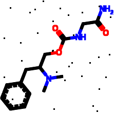 CN(C)C(COC(=O)NCC(N)=O)Cc1ccccc1